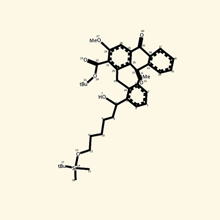 COc1cccc(C(O)CCCCCO[Si](C)(C)C(C)(C)C)c1Cc1c(C(=O)OC(C)(C)C)c(OC)cc2c1C(=O)c1ccccc1C2=O